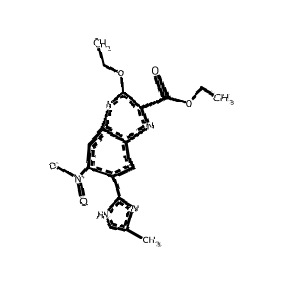 CCOC(=O)c1nc2cc(-c3nc(C)c[nH]3)c([N+](=O)[O-])cc2nc1OCC